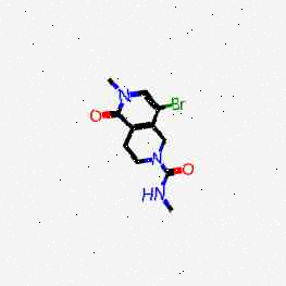 CNC(=O)N1CCc2c(c(Br)cn(C)c2=O)C1